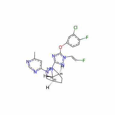 Cc1cc(N2C[C@H]3CC[C@@H](C2)[C@@H]3Nc2nc(Oc3ccc(F)c(Cl)c3)n(C=CF)n2)ncn1